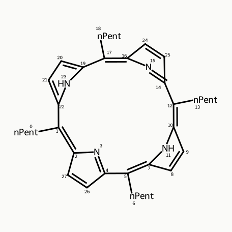 CCCCCc1c2nc(c(CCCCC)c3ccc([nH]3)c(CCCCC)c3nc(c(CCCCC)c4ccc1[nH]4)C=C3)C=C2